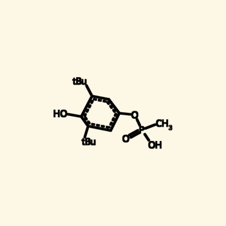 CC(C)(C)c1cc(OP(C)(=O)O)cc(C(C)(C)C)c1O